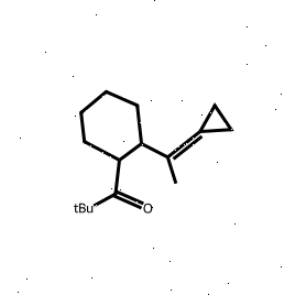 CC(=C1CC1)C1CCCCC1C(=O)C(C)(C)C